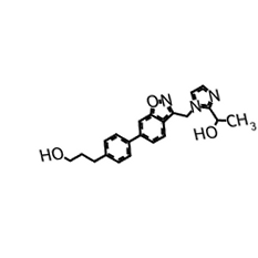 CC(O)c1nccn1Cc1noc2cc(-c3ccc(CCCO)cc3)ccc12